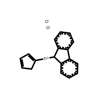 C1=CC[C]([Ti+2][CH]2c3ccccc3-c3ccccc32)=C1.[Cl-].[Cl-]